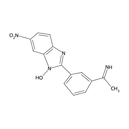 CC(=N)c1cccc(-c2nc3ccc([N+](=O)[O-])cc3n2O)c1